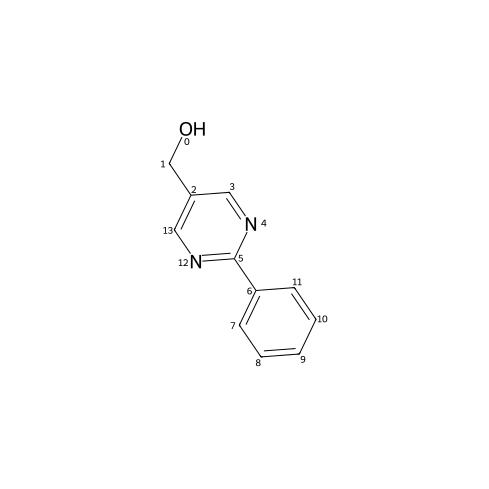 OCc1cnc(-c2ccccc2)nc1